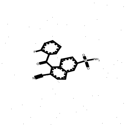 N#Cc1ccc2cc(S(N)(=O)=O)ccc2c1C(=O)c1ccccc1F